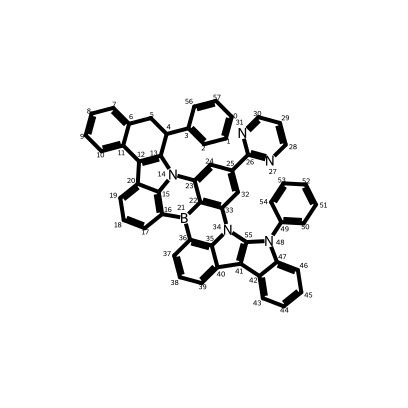 c1ccc(C2Cc3ccccc3-c3c2n2c4c(cccc34)B3c4c-2cc(-c2ncccn2)cc4-n2c4c3cccc4c3c4ccccc4n(-c4ccccc4)c32)cc1